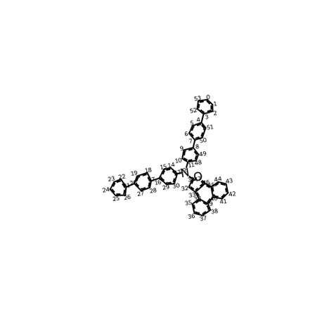 c1ccc(-c2ccc(-c3ccc(N(c4ccc(-c5ccc(-c6ccccc6)cc5)cc4)c4cc5c6ccccc6c6ccccc6c5o4)cc3)cc2)cc1